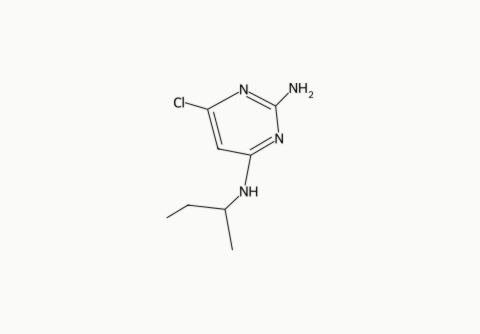 CCC(C)Nc1cc(Cl)nc(N)n1